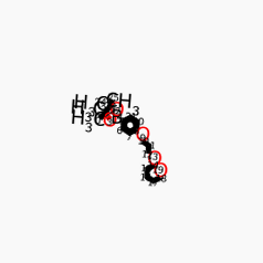 CC1(C)OB(c2ccc(OCCCOC3CCCCO3)cc2)OC1(C)C